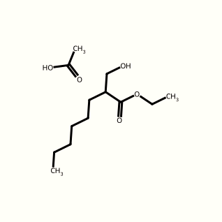 CC(=O)O.CCCCCCC(CO)C(=O)OCC